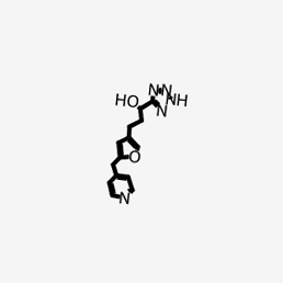 OC(CCc1coc(Cc2ccncc2)c1)c1nn[nH]n1